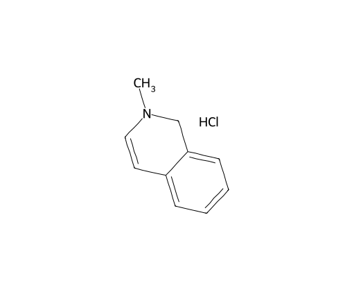 CN1C=Cc2ccccc2C1.Cl